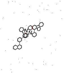 c1cc(-c2ccc(N(c3ccccc3-c3cccc4c3oc3ccccc34)c3ccccc3-n3c4ccccc4c4ccccc43)cc2)cc(-c2cccc3ccccc23)c1